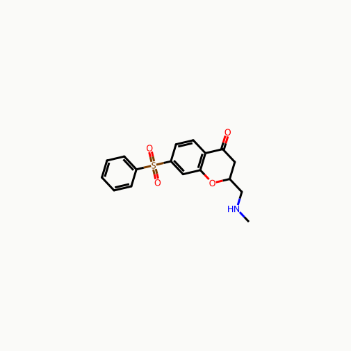 CNCC1CC(=O)c2ccc(S(=O)(=O)c3ccccc3)cc2O1